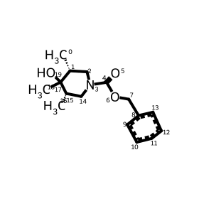 C[C@@H]1CN(C(=O)OCc2ccccc2)C[C@H](C)C1(C)O